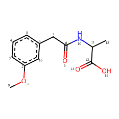 COc1cccc(CC(=O)NC(C)C(=O)O)c1